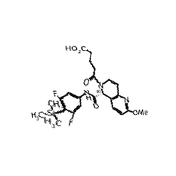 COc1ccc2c(n1)CCN(C(=O)CCCC(=O)O)[C@H]2C(=O)Nc1cc(F)c([Si](C)(C)C)c(F)c1